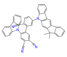 CC1(C)c2ccccc2-c2cc3c4ccccc4n(-c4ccc(C#N)c(-c5cc(C#N)c(C#N)cc5-n5c6ccccc6c6ccccc65)c4)c3cc21